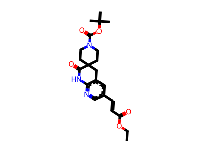 CCOC(=O)C=Cc1cnc2c(c1)CC1(CCN(C(=O)OC(C)(C)C)CC1)C(=O)N2